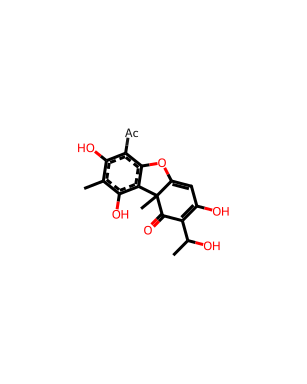 CC(=O)c1c(O)c(C)c(O)c2c1OC1=CC(O)=C(C(C)O)C(=O)C12C